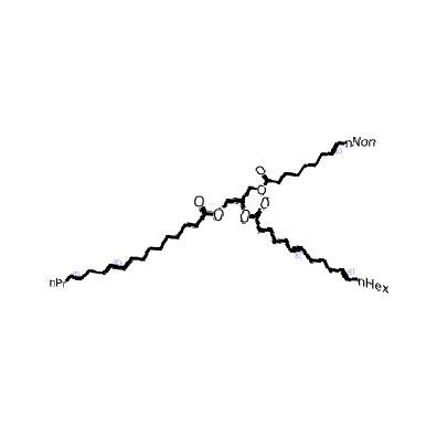 CCC/C=C/CC/C=C/CCCCCCCCC(=O)OCC(COC(=O)CCCCCC/C=C/CCCCCCCCC)OC(=O)CCCC/C=C/CCC/C=C/CCCCCC